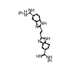 CC(C)NC(=N)c1ccc2[nH]c(C=Cc3nc4cc(C(=N)NC(C)C)ccc4[nH]3)nc2c1